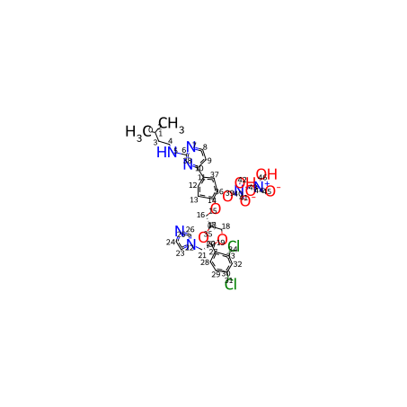 CC(C)CCNc1nccc(-c2ccc(OC[C@@H]3CO[C@@](Cn4ccnc4)(c4ccc(Cl)cc4Cl)O3)cc2)n1.O=[N+]([O-])O.O=[N+]([O-])O